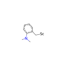 CN(C)c1ccccc1[CH2][Sc]